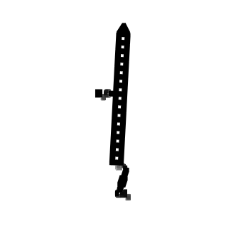 CC#CC[C@@H]1CC2C3C4C5C(C6C5C5C6C6C5C5(C)C7C8C9C%10C%11C%12C%13CC%13C%12C%11C%10C9C8C7C65)C4C3C21